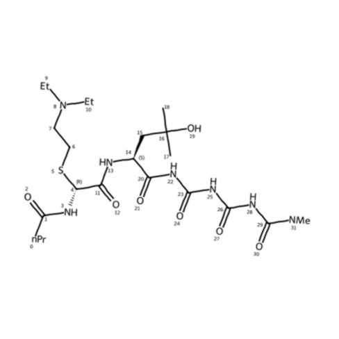 CCCC(=O)N[C@H](SCCN(CC)CC)C(=O)N[C@@H](CC(C)(C)O)C(=O)NC(=O)NC(=O)NC(=O)NC